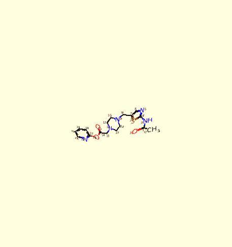 CC(=O)Nc1ncc(CN2CCN(CC(=O)Oc3ccccn3)CC2)s1